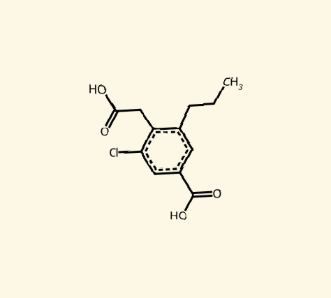 CCCc1cc(C(=O)O)cc(Cl)c1CC(=O)O